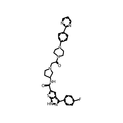 O=C(NC1CCN(CC(=O)N2CCN(c3ccc(-c4ncccn4)cc3)CC2)C1)c1cc2c(-c3ccc(F)cc3)n[nH]c2s1